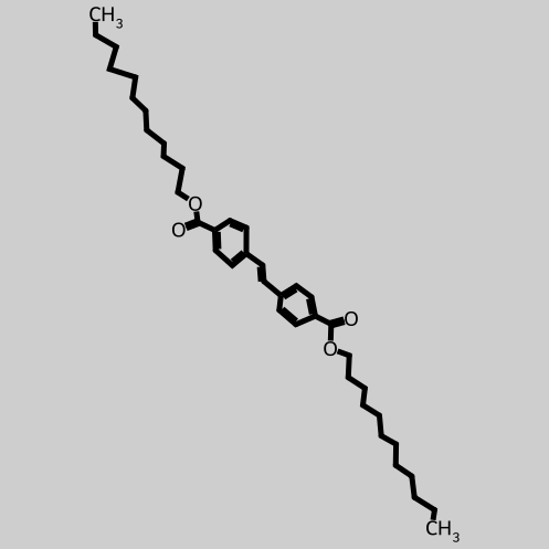 CCCCCCCCCCCCOC(=O)c1ccc(/C=C/c2ccc(C(=O)OCCCCCCCCCCCC)cc2)cc1